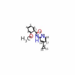 COc1ccccc1C(=O)Nc1cc(C2CC2)ccn1